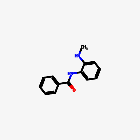 CNc1ccccc1NC(=O)c1ccccc1